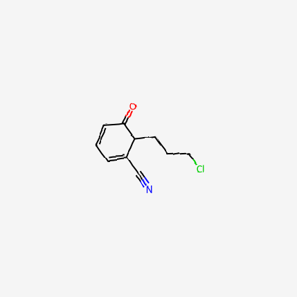 N#CC1=CC=CC(=O)C1CCCCl